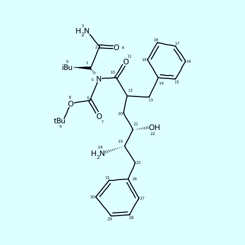 CC[C@H](C)[C@H](C(N)=O)N(C(=O)OC(C)(C)C)C(=O)C(Cc1ccccc1)C[C@H](O)[C@@H](N)Cc1ccccc1